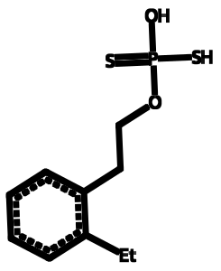 CCc1ccccc1CCOP(O)(=S)S